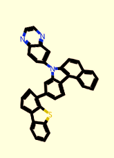 c1ccc2c(c1)ccc1c2c2ccc(-c3cccc4c3sc3ccccc34)cc2n1-c1ccc2nccnc2c1